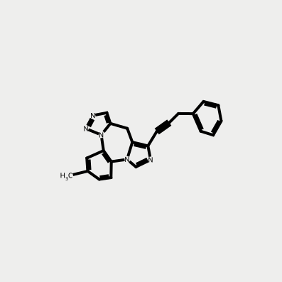 Cc1ccc2c(c1)-n1nncc1Cc1c(C#CCc3ccccc3)ncn1-2